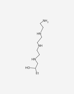 CCC(O)CNCCNCCNCCN